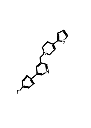 Fc1ccc(-c2cncc(CN3CC=C(c4cccs4)CC3)c2)cc1